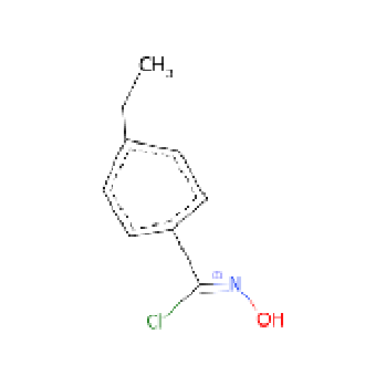 CCc1ccc(/C(Cl)=N/O)cc1